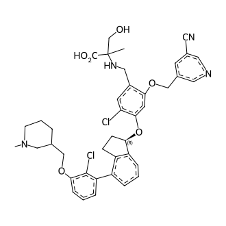 CN1CCCC(COc2cccc(-c3cccc4c3CC[C@H]4Oc3cc(OCc4cncc(C#N)c4)c(CNC(C)(CO)C(=O)O)cc3Cl)c2Cl)C1